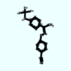 CC(=NOc1ccc(C#N)cc1)c1ccc(OC(F)(F)F)cc1